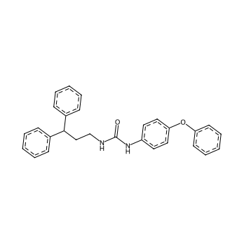 O=C(NCCC(c1ccccc1)c1ccccc1)Nc1ccc(Oc2ccccc2)cc1